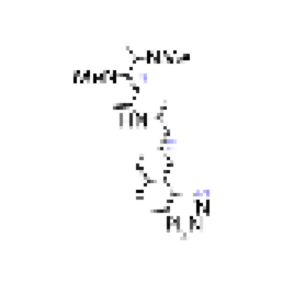 C=C(/C=C(\NC)C(C)NC)NC(=C)/C=C1/C=C(C(/C=N\N)=C(C)C)C(F)=CC1